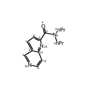 CCCN(CCC)C(=O)c1ccc2cnccc2n1